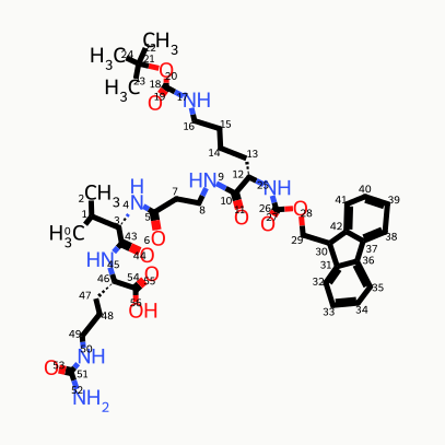 CC(C)[C@H](NC(=O)CCNC(=O)[C@H](CCCCNC(=O)OC(C)(C)C)NC(=O)OCC1c2ccccc2-c2ccccc21)C(=O)N[C@@H](CCCNC(N)=O)C(=O)O